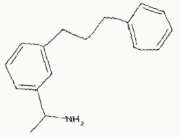 CC(N)c1cccc(CCCc2ccccc2)c1